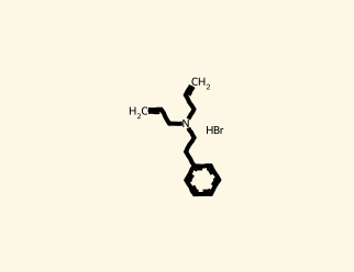 Br.C=CCN(CC=C)CCc1ccccc1